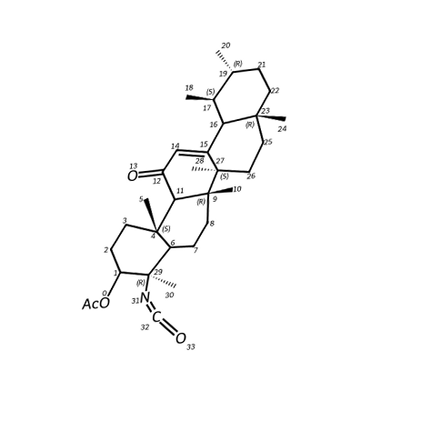 CC(=O)OC1CC[C@@]2(C)C(CC[C@]3(C)C2C(=O)C=C2C4[C@@H](C)[C@H](C)CC[C@]4(C)CC[C@]23C)[C@@]1(C)N=C=O